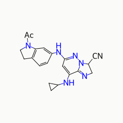 CC(=O)N1CCc2ccc(NC3=NN4C(=NCC4C#N)C(NC4CC4)=C3)cc21